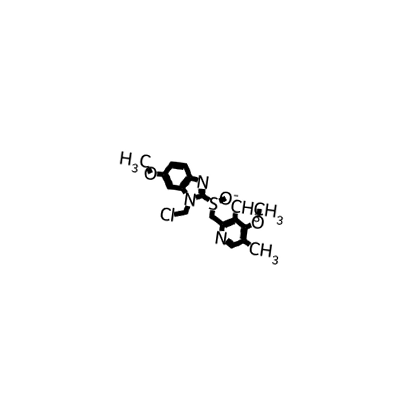 COc1ccc2nc([S+]([O-])Cc3ncc(C)c(OC)c3C)n(CCl)c2c1